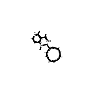 CC(=N)c1c(N(C)Cc2ccccccccc2)ccnc1C